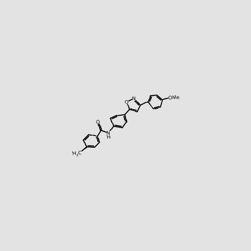 COc1ccc(-c2cc(-c3ccc(NC(=O)c4ccc(C)cc4)cc3)on2)cc1